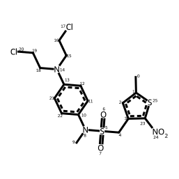 Cc1cc(CS(=O)(=O)N(C)c2ccc(N(CCCl)CCCl)cc2)c([N+](=O)[O-])s1